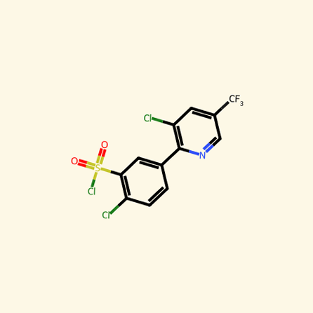 O=S(=O)(Cl)c1cc(-c2ncc(C(F)(F)F)cc2Cl)ccc1Cl